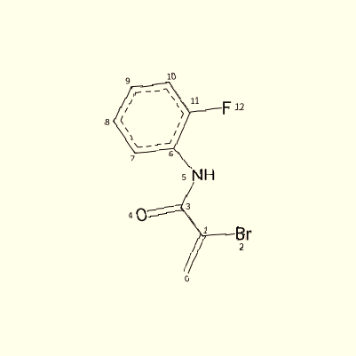 C=C(Br)C(=O)Nc1ccccc1F